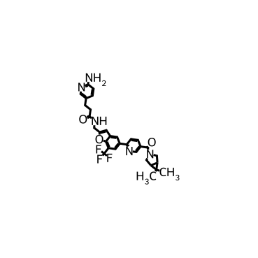 CC1(C)C2CN(C(=O)c3ccc(-c4cc(C(F)(F)F)c5oc(CNC(=O)CCc6ccc(N)nc6)cc5c4)nc3)CC21